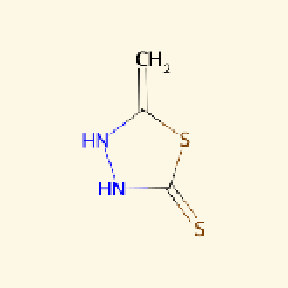 C=C1NNC(=S)S1